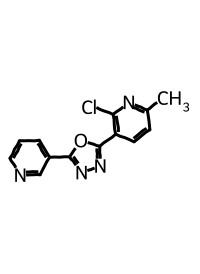 Cc1ccc(-c2nnc(-c3cccnc3)o2)c(Cl)n1